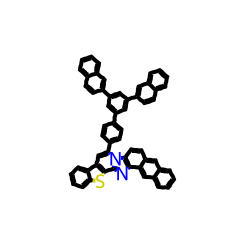 c1ccc2cc(-c3cc(-c4ccc(-c5cc6c7ccccc7sc6c6nc7c8cc9ccccc9cc8ccc7n56)cc4)cc(-c4ccc5ccccc5c4)c3)ccc2c1